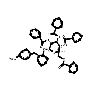 COc1ccc(Cc2ccccc2O[C@@H]2O[C@](C)(COC(=O)c3ccccc3)[C@@H](OC(=O)c3ccccc3)[C@H](OC(=O)c3ccccc3)[C@H]2OC(=O)c2ccccc2)cc1